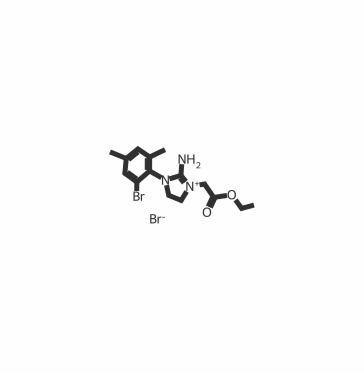 CCOC(=O)C[N+]1=C(N)N(c2c(C)cc(C)cc2Br)CC1.[Br-]